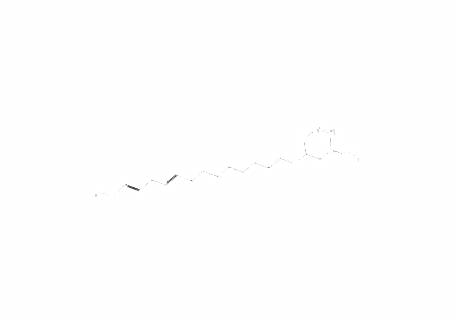 CCCCCC=CCC=CCCCCCCCCOC(CN(C)C)OCCCCCCCCC